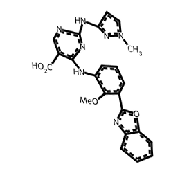 COc1c(Nc2nc(Nc3ccn(C)n3)ncc2C(=O)O)cccc1-c1nc2ccccc2o1